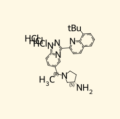 C[C@H](c1ccc2nnc(-c3ccc4cccc(C(C)(C)C)c4n3)n2c1)N1CC[C@H](N)C1.Cl.Cl.Cl